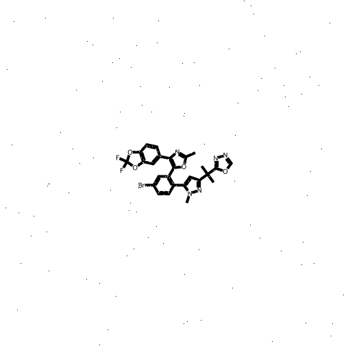 Cc1nc(-c2ccc3c(c2)OC(F)(F)O3)c(-c2cc(Br)ccc2-c2cc(C(C)(C)c3nnco3)nn2C)o1